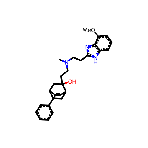 COc1cccc2[nH]c(CCN(C)CCC3(O)CC4CCC3C=C4c3ccccc3)nc12